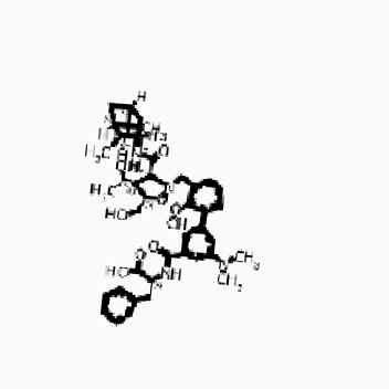 COc1c(CN2O[C@@H](CO)[C@@H]([C@H](C)O)[C@H]2C(=O)N[C@H]2C[C@H]3C[C@@H]([C@@H]2C)C3(C)C)cccc1-c1cc(C(=O)N[C@@H](Cc2ccccc2)C(=O)O)cc(N(C)C)c1